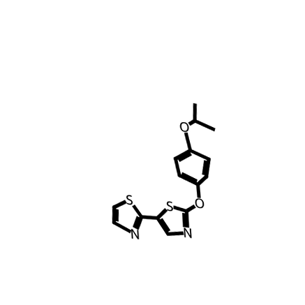 CC(C)Oc1ccc(Oc2ncc(-c3nccs3)s2)cc1